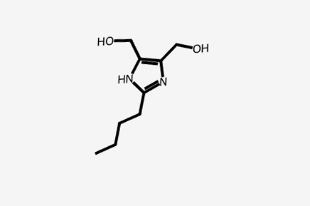 CCCCc1nc(CO)c(CO)[nH]1